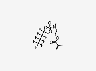 C=C(C)C(=O)OCCN(C)S(=O)(=O)OC(F)(F)C(F)(F)C(F)(F)C(F)(F)F